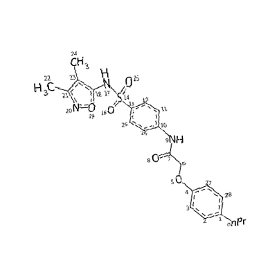 CCCc1ccc(OCC(=O)Nc2ccc(S(=O)(=O)Nc3onc(C)c3C)cc2)cc1